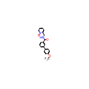 O=C(NCc1cccc[n+]1[O-])c1cccc(-c2ccc(OC(F)(F)F)cc2)c1